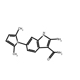 Cc1ccc(C)n1-c1ccc2c(C(N)=O)c(N)[nH]c2c1